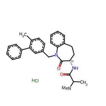 CNC(C)C(=O)N[C@H]1CCc2ccccc2N(Cc2ccc(C)c(-c3ccccc3)c2)C1=O.Cl